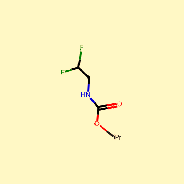 CC(C)OC(=O)NCC(F)F